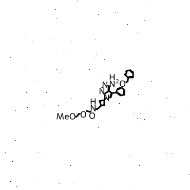 COCCOCC(=O)NCC1CC(n2cc(-c3cccc(OCc4ccccc4)c3)c3c(N)ncnc32)C1